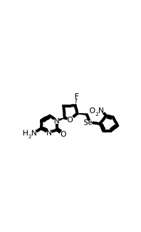 Nc1ccn([C@H]2C[C@H](F)[C@@H](C[Se]c3ccccc3[N+](=O)[O-])O2)c(=O)n1